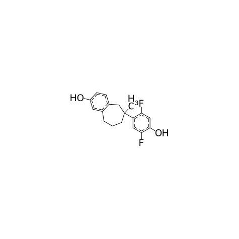 CC1(c2cc(F)c(O)cc2F)CCCc2cc(O)ccc2C1